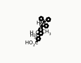 CC1(C)C(c2ccc(C(=O)O)cc2)=CC[C@]2(C)CN(C(=O)c3ccccc3[C@H]3Nc4ccccc4N3c3ccccc3)CC=C12